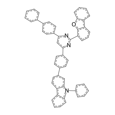 c1ccc(-c2ccc(-c3cc(-c4ccc(-c5ccc6c7ccccc7n(-c7ccccc7)c6c5)cc4)nc(-c4cccc5c4oc4ccccc45)n3)cc2)cc1